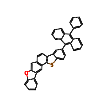 c1ccc(-c2c3ccccc3c(-c3ccc4sc5c6cc7c(cc6ccc5c4c3)oc3ccccc37)c3ccccc23)cc1